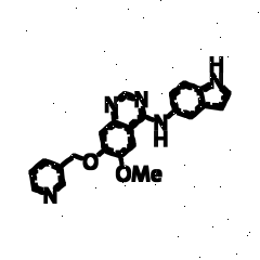 COc1cc2c(Nc3ccc4[nH]ccc4c3)ncnc2cc1OCc1cccnc1